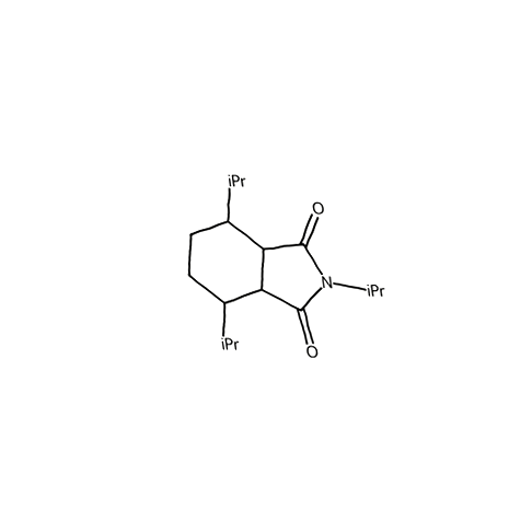 CC(C)C1CCC(C(C)C)C2C(=O)N(C(C)C)C(=O)C12